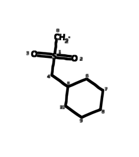 [CH2]S(=O)(=O)CC1CCCCC1